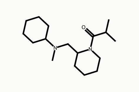 CC(C)C(=O)N1CCCCC1CN(C)C1CCCCC1